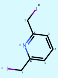 ICc1cccc(CI)n1